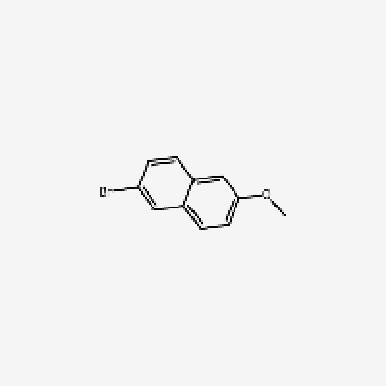 COc1ccc2[c]c(Br)ccc2c1